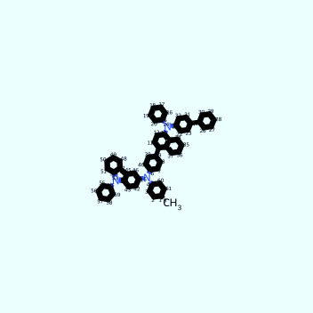 Cc1ccc(N(c2ccc(-c3ccc(N(c4ccccc4)c4ccc(-c5ccccc5)cc4)c4ccccc34)cc2)c2ccc3c(c2)c2ccccc2n3-c2ccccc2)cc1